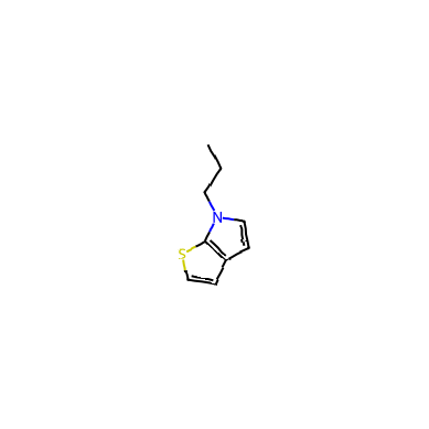 CCCn1ccc2ccsc21